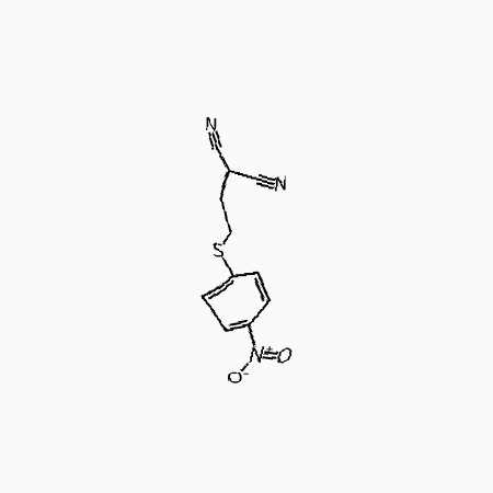 N#CC(C#N)CCSc1ccc([N+](=O)[O-])cc1